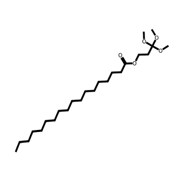 CCCCCCCCCCCCCCCCCC(=O)OCCC(OC)(OC)OC